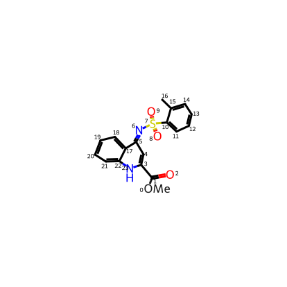 COC(=O)c1cc(=NS(=O)(=O)c2ccccc2C)c2ccccc2[nH]1